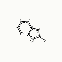 Cc1cc2nnccc2[nH]1